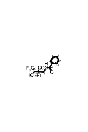 CC[C@](CNC(=O)c1ccccc1)(C(=O)O)[C@H](O)C(F)(F)F